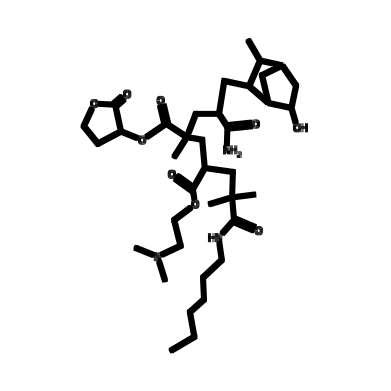 CCCCCCNC(=O)C(C)(C)CC(CC(C)(CC(CC1C(C)C2CC(O)C1C2)C(N)=O)C(=O)OC1CCOC1=O)C(=O)OCCN(C)C